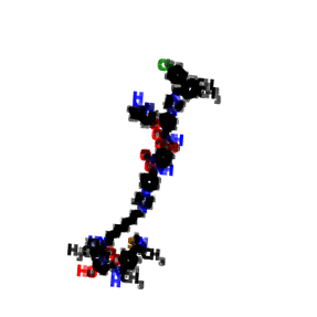 Cc1ncsc1-c1ccc([C@H](C)NC(=O)[C@@H]2C[C@@H](O)CN2C(=O)[C@@H](NCCCCCCCCCN2CCN(C3CCC(CNc4ccc(S(=O)(=O)NC(=O)c5ccc(N6CCN(CC7=C(c8ccc(Cl)cc8)CC(C)(C)CC7)CC6)cc5Oc5cnc6[nH]ccc6c5)cc4[N+](=O)[O-])CC3)CC2)C(C)(C)C)cc1